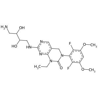 CCN1C(=O)N(c2c(F)c(OC)cc(OC)c2F)Cc2cnc(NCC(O)C(O)CN)nc21